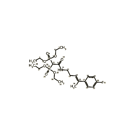 CCOP(=O)(OCC)C(C(=O)NCC/C=C(\C)c1ccc(F)cc1)P(=O)(OCC)OCC